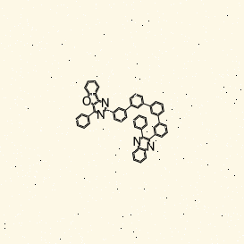 c1ccc(-c2nc3ccccc3nc2-c2cccc(-c3cccc(-c4cccc(-c5cccc(-c6nc(-c7ccccc7)c7oc8ccccc8c7n6)c5)c4)c3)c2)cc1